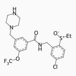 CC[S+]([O-])c1ccc(Cl)cc1CNC(=O)c1cc(CN2CCNCC2)cc(OC(F)(F)F)c1